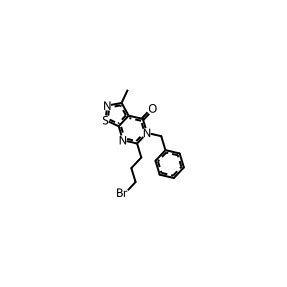 Cc1nsc2nc(CCCBr)n(Cc3ccccc3)c(=O)c12